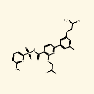 CC(C)COc1cc(F)cc(-c2ccc(C(=O)NS(=O)(=O)c3cccc(N)n3)c(OCC(F)F)n2)c1